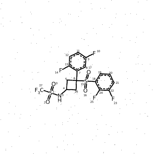 O=S(=O)(NC1CC(c2cc(F)ccc2F)(S(=O)(=O)c2cccc(F)c2F)C1)C(F)(F)F